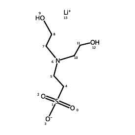 O=S(=O)([O-])CCN(CCO)CCO.[Li+]